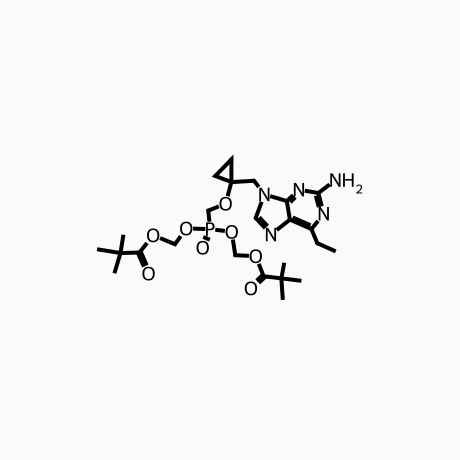 CCc1nc(N)nc2c1ncn2CC1(OCP(=O)(OCOC(=O)C(C)(C)C)OCOC(=O)C(C)(C)C)CC1